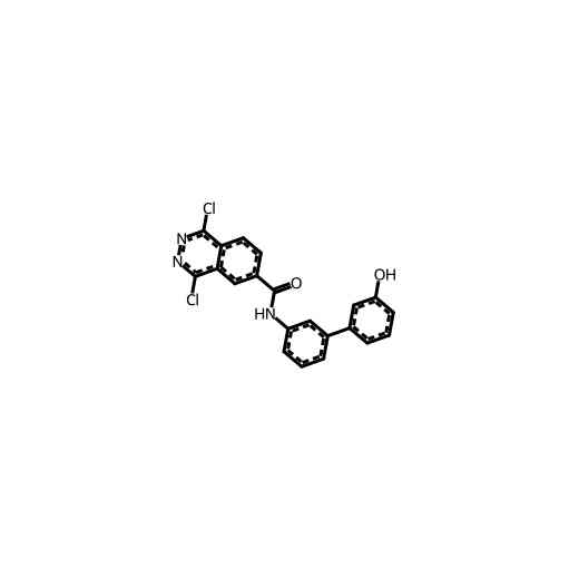 O=C(Nc1cccc(-c2cccc(O)c2)c1)c1ccc2c(Cl)nnc(Cl)c2c1